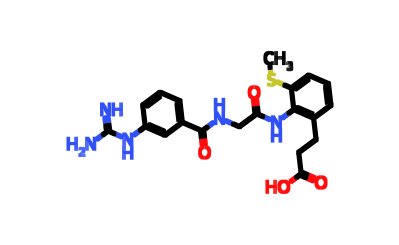 CSc1cccc(CCC(=O)O)c1NC(=O)CNC(=O)c1cccc(NC(=N)N)c1